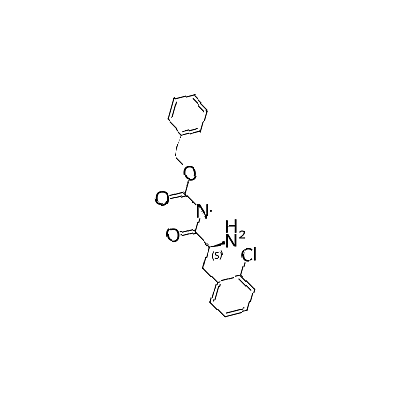 N[C@@H](Cc1ccccc1Cl)C(=O)[N]C(=O)OCc1ccccc1